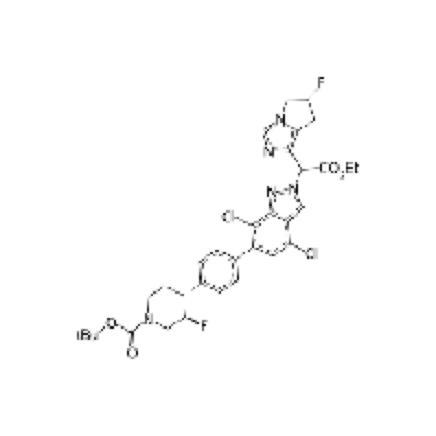 CCOC(=O)C(c1ncn2c1C[C@@H](F)C2)n1cc2c(Cl)cc(-c3ccc([C@H]4CCN(C(=O)OC(C)(C)C)C[C@@H]4F)cc3)c(Cl)c2n1